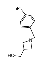 CC(C)c1ccc(CN2CC(CO)C2)cc1